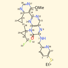 CCSc1ccc(CNc2nc3cnc(-c4c(OC)ncnc4C4CC4)nc3n(C3(C)CC3C(F)F)c2=O)nc1